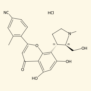 Cc1cc(C#N)ccc1-c1cc(=O)c2c(O)cc(O)c([C@@H]3CCN(C)[C@H]3CO)c2o1.Cl